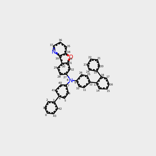 c1ccc(-c2ccc(N(c3ccc(-c4ccccc4-c4ccccc4)cc3)c3ccc4c(c3)oc3cccnc34)cc2)cc1